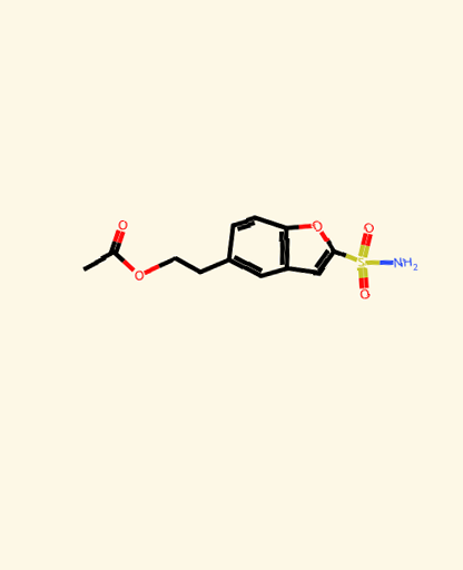 CC(=O)OCCc1ccc2oc(S(N)(=O)=O)cc2c1